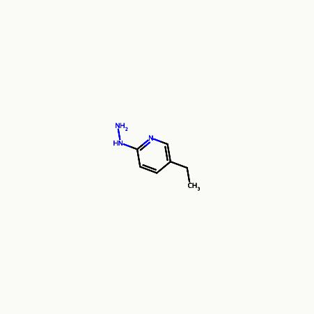 CCc1ccc(NN)nc1